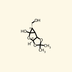 CC1(C)OC2C3[C@@H](CO)C3(O)O[C@@H]2O1